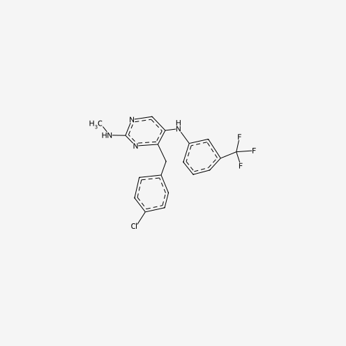 CNc1ncc(Nc2cccc(C(F)(F)F)c2)c(Cc2ccc(Cl)cc2)n1